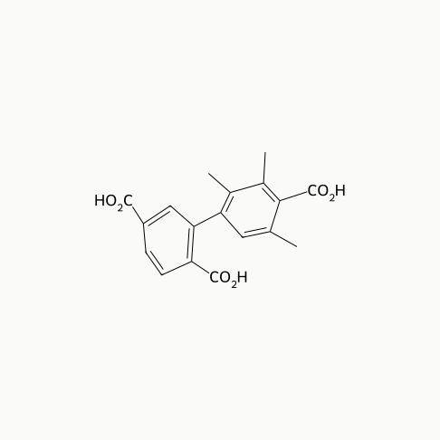 Cc1cc(-c2cc(C(=O)O)ccc2C(=O)O)c(C)c(C)c1C(=O)O